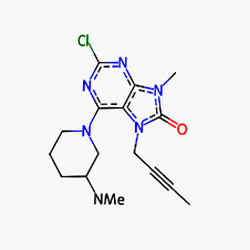 CC#CCn1c(=O)n(C)c2nc(Cl)nc(N3CCCC(NC)C3)c21